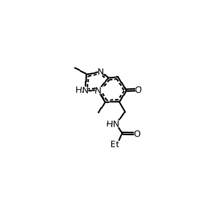 CCC(=O)NCc1c(C)n2[nH]c(C)nc2cc1=O